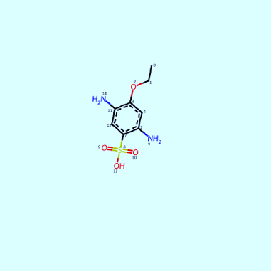 CCOc1cc(N)c(S(=O)(=O)O)cc1N